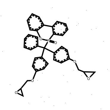 O=P1(C(c2ccccc2)(c2ccc(OCC3CO3)cc2)c2ccc(OCC3CO3)cc2)Oc2ccccc2-c2ccccc21